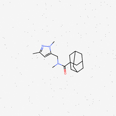 Cc1cc(CN(C)C(=O)C23CC4CC(CC(C4)C2)C3)n(C)n1